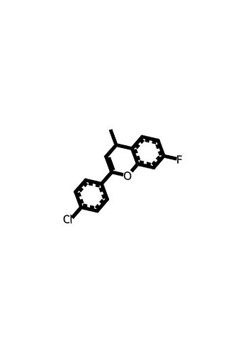 CC1C=C(c2ccc(Cl)cc2)Oc2cc(F)ccc21